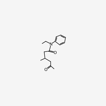 CCN(C(=O)CC(C)CC(C)=O)c1ccccc1